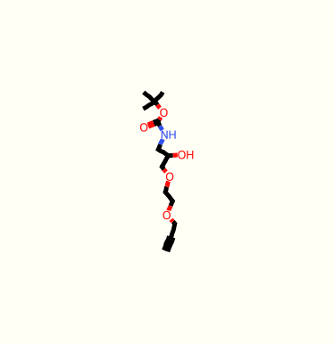 C#CCOCCOCC(O)CNC(=O)OC(C)(C)C